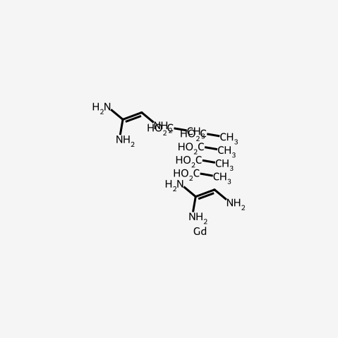 CC(=O)O.CC(=O)O.CC(=O)O.CC(=O)O.CC(=O)O.NC=C(N)N.NC=C(N)N.[Gd]